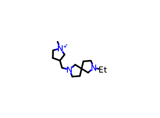 CCN1CCC2(CCN(CC3CC[N+](C)(C)C3)C2)C1